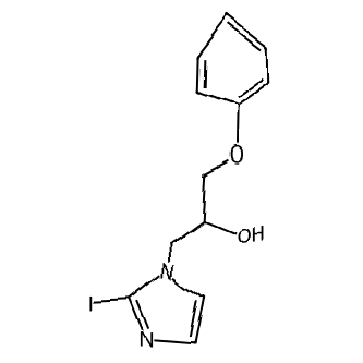 OC(COc1ccccc1)Cn1ccnc1I